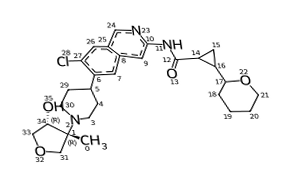 C[C@@]1(N2CCC(c3cc4cc(NC(=O)C5CC5C5CCCCO5)ncc4cc3Cl)CC2)COC[C@@H]1O